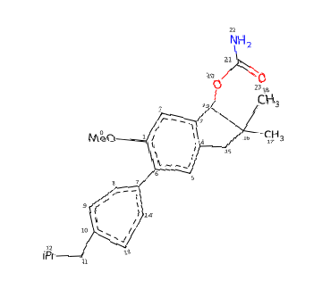 COc1cc2c(cc1-c1ccc(CC(C)C)cc1)CC(C)(C)C2OC(N)=O